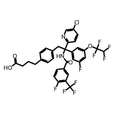 O=C(O)CCCc1ccc(CC(NC(=O)c2ccc(F)c(C(F)(F)F)c2)(c2cc(F)cc(OC(F)(F)C(F)F)c2)c2ccc(Cl)cn2)cc1